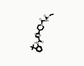 CCCC(=O)NC(=O)N1CCC(c2nc(C(=O)Nc3ccccc3C(C)(C)C)cs2)CC1